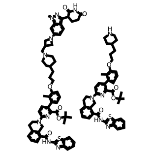 Cc1c(OCCCC2CCN(CC3CN(c4ccc5c(C6CCC(=O)NC6=O)nn(C)c5c4)C3)CC2)cccc1-c1ccc(N2CCc3cccc(C(=O)Nc4nc5ccccc5s4)c3C2)nc1C(=O)OC(C)(C)C.Cc1c(OCCCC2CCNCC2)cccc1-c1ccc(N2CCc3cccc(C(=O)Nc4nc5ccccc5s4)c3C2)nc1C(=O)OC(C)(C)C